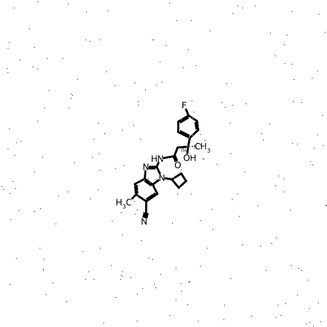 Cc1cc2nc(NC(=O)C[C@](C)(O)c3ccc(F)cc3)n(C3CCC3)c2cc1C#N